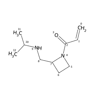 C=CC(=O)N1CCC1CNC(C)C